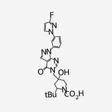 CC(C)(C)C1CC(O)(Cn2cnc3c(cnn3-c3cccc(-n4ccc(F)n4)c3)c2=O)CCN1C(=O)O